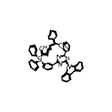 C=C(/C=C\C=C(/C)c1ccccc1)[Si](c1ccccc1)(c1ccccc1)c1cccc(-c2nc(-c3ccccc3)nc(-n3c4ccccc4c4ccccc43)n2)c1